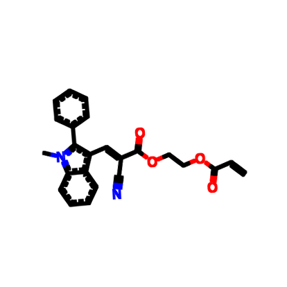 C=CC(=O)OCCOC(=O)C(C#N)=Cc1c(-c2ccccc2)n(C)c2ccccc12